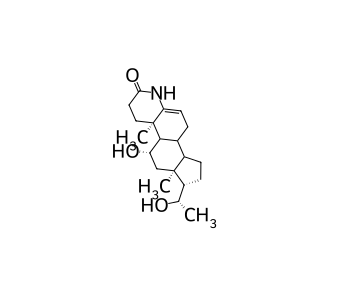 C[C@H](O)[C@H]1CCC2C3CC=C4NC(=O)CC[C@]4(C)C3[C@@H](O)C[C@@]21C